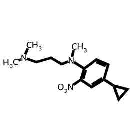 CN(C)CCCN(C)c1ccc(C2CC2)cc1[N+](=O)[O-]